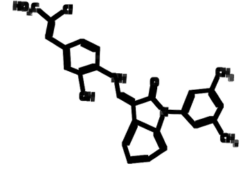 Cc1cc(C)cc(N2C(=O)C(=CNc3ccc(C=C(Cl)C(=O)O)cc3O)c3ccccc32)c1